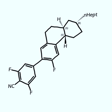 CCCCCCC[C@@H]1CC[C@@H]2c3cc(F)c(-c4cc(F)c(C#N)c(F)c4)cc3CC[C@H]2C1